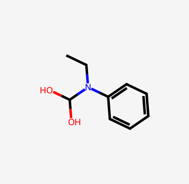 CCN(c1ccccc1)C(O)O